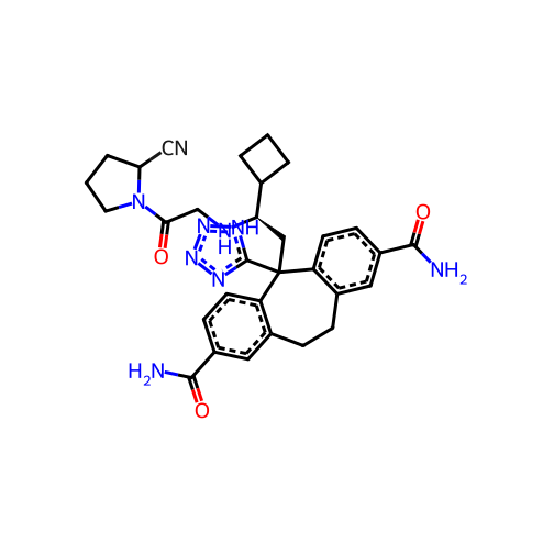 N#CC1CCCN1C(=O)CN[C@H](CC1(c2nnn[nH]2)c2ccc(C(N)=O)cc2CCc2cc(C(N)=O)ccc21)C1CCC1